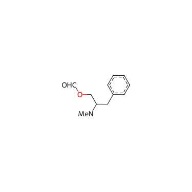 CNC(COC=O)Cc1ccccc1